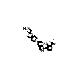 C[C@]1(C[SiH3])OCC2(CCN(c3cnc4c(cnn4-c4ccnc(C(F)(F)F)c4Cl)n3)CC2)S1